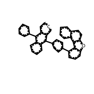 c1ccc(-c2c3ccccc3c(-c3ccc(-c4cccc5oc6ccc7ccccc7c6c45)cc3)c3ccccc23)cc1